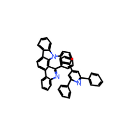 c1ccc(-c2cc(-c3cccc(-n4c5ccccc5c5ccc6c7ccccc7nc(-c7ccccc7)c6c54)c3)cc(-c3ccccc3)n2)cc1